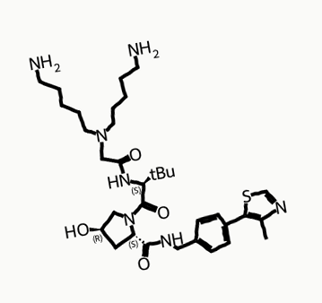 Cc1ncsc1-c1ccc(CNC(=O)[C@@H]2C[C@@H](O)CN2C(=O)[C@@H](NC(=O)CN(CCCCCN)CCCCCN)C(C)(C)C)cc1